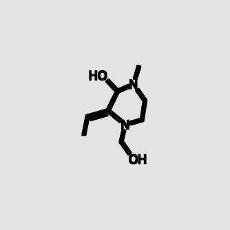 C/C=C1/C(O)N(C)CCN1CO